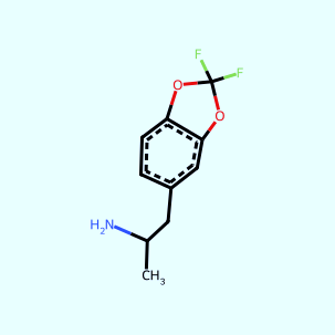 CC(N)Cc1ccc2c(c1)OC(F)(F)O2